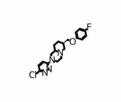 Fc1ccc(OC[C@@H]2CCC3CN(c4ccc(Cl)nn4)CCN3C2)cc1